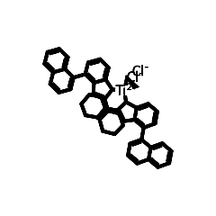 C1=C(C2CCCCC2)[CH]([Ti+2]2([CH]3C(C4CCCCC4)=Cc4c(-c5cccc6ccccc56)cccc43)[CH2][CH2]2)c2cccc(-c3cccc4ccccc34)c21.[Cl-].[Cl-]